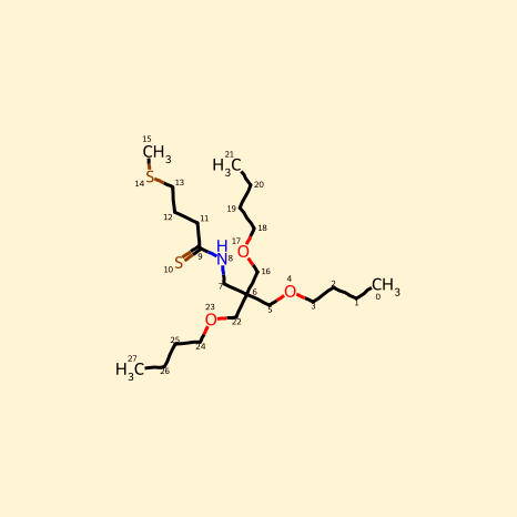 CCCCOCC(CNC(=S)CCCSC)(COCCCC)COCCCC